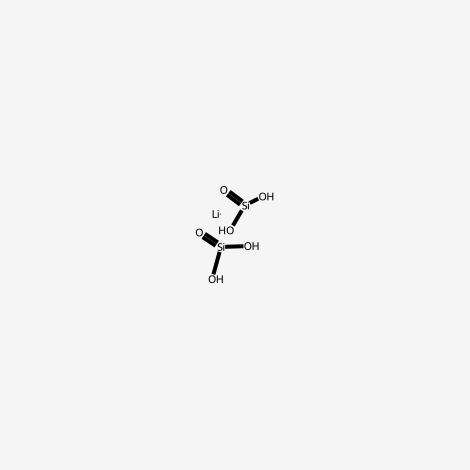 O=[Si](O)O.O=[Si](O)O.[Li]